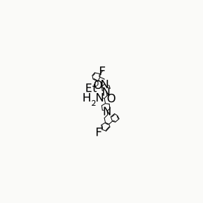 CCOc1cccc(F)c1CN1CCN(C(=O)[C@H](N)C2CCN(CCc3cc(F)ccc3-c3ccccc3)CC2)CC1